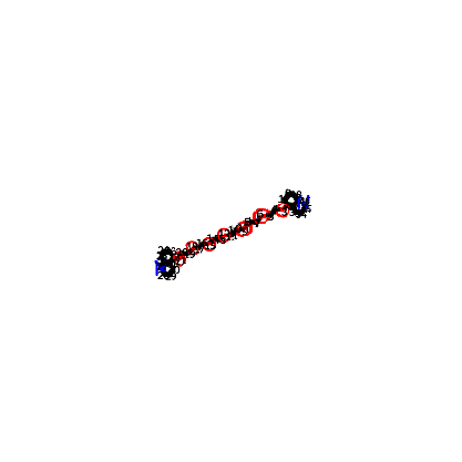 c1cc(OCCOCCOCCOCCOCCOCCOc2cccc3ncccc23)c2cccnc2c1